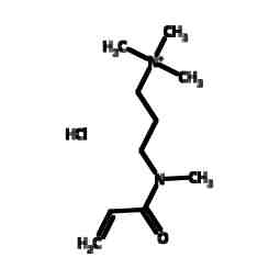 C=CC(=O)N(C)CCC[N+](C)(C)C.Cl